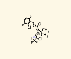 CC1(C)[C@H](C(=O)OCc2c(F)ccc(F)c2Cl)[C@@H]1/C=C(\Cl)C(F)(F)F